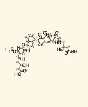 COc1nc(O[C@H]2CCc3c(-c4cccc(C(=O)c5ccc(CNCC(O)CC(=O)O)c(=O)[nH]5)c4Cl)cccc32)c(Cl)cc1CNCC(O)CC(=O)O